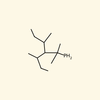 CCC(C)C(C(C)CC)C(C)(C)P